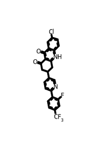 O=C1CC(c2ccc(-c3ccc(C(F)(F)F)cc3F)nc2)Cc2[nH]c3ccc(Cl)cc3c(=O)c21